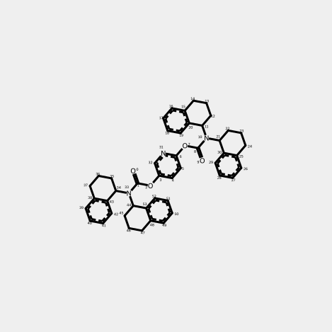 O=C(Oc1ccc(OC(=O)N(C2CCCc3ccccc32)C2CCCc3ccccc32)nc1)N(C1CCCc2ccccc21)C1CCCc2ccccc21